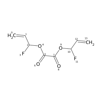 C=CC(F)OC(=O)C(=O)OC(F)C=C